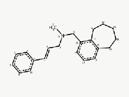 CN(C/C=C/c1ccccc1)Cc1cccc2c1CCCCC2